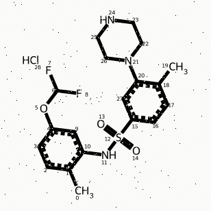 Cc1ccc(OC(F)F)cc1NS(=O)(=O)c1ccc(C)c(N2CCNCC2)c1.Cl